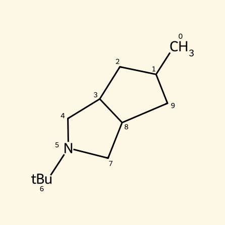 CC1CC2CN(C(C)(C)C)CC2C1